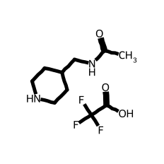 CC(=O)NCC1CCNCC1.O=C(O)C(F)(F)F